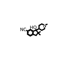 CN1CCC(C2(O)c3cc(C#N)ccc3CC2(C)C)CC1